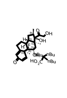 CCCCC(CCCC)(CCCC)C(=O)O.C[C@@H]1C[C@H]2[C@@H]3CCC4=CC(=O)C=C[C@]4(C)[C@@]3(F)[C@@H](O)C[C@]2(C)[C@@]1(O)C(=O)CO